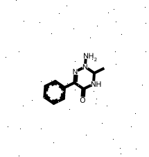 CC1NC(=O)C(c2ccccc2)=NN1N